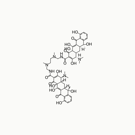 CN(CCN(C)CNC(=O)C1=C(O)[C@@H](N(C)C)[C@@H]2C[C@H]3C(=C(O)[C@]2(O)C1=O)C(=O)c1c(O)cccc1[C@@]3(C)O)CNC(=O)C1=C(O)[C@@H](N(C)C)[C@@H]2C[C@H]3C(=C(O)[C@]2(O)C1=O)C(=O)c1c(O)cccc1[C@@]3(C)O